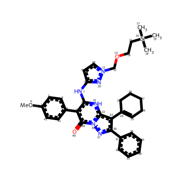 COc1ccc(-c2c(Nc3ccn(COCC[Si](C)(C)C)n3)[nH]c3c(C4=CCCCC4)c(-c4ccccc4)nn3c2=O)cc1